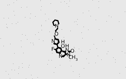 Cn1c(=O)[nH]c2c3c(O)c(-c4ccc(COCCN5CCCCC5)nc4)c(F)cc3ncc21